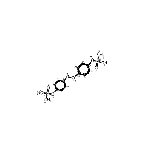 CP(=O)(O)Oc1ccc(OOc2ccc(OP(C)(=O)O)cc2)cc1